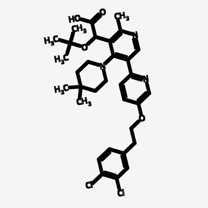 Cc1ncc(-c2ccc(OCCc3ccc(Cl)c(Cl)c3)cn2)c(N2CCC(C)(C)CC2)c1C(OC(C)(C)C)C(=O)O